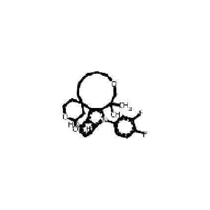 CC1(C)COCCCCCC2(CCOC(C(=O)O)C2)c2c1n(-c1ccc(F)c(F)c1)c1cccc(O)c21